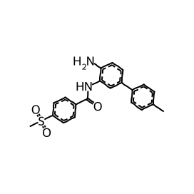 Cc1ccc(-c2ccc(N)c(NC(=O)c3ccc(S(C)(=O)=O)cc3)c2)cc1